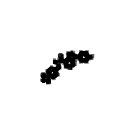 CN(Cc1ccc(S(C)(=O)=O)cc1)C(=O)c1cncc2c1cnn2-c1ccc(F)cc1